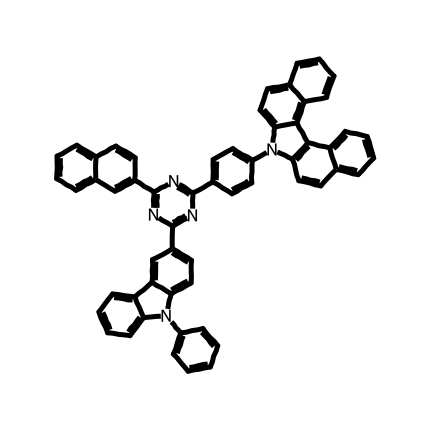 c1ccc(-n2c3ccccc3c3cc(-c4nc(-c5ccc(-n6c7ccc8ccccc8c7c7c8ccccc8ccc76)cc5)nc(-c5ccc6ccccc6c5)n4)ccc32)cc1